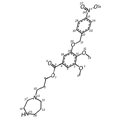 COc1cc(C(=O)OCCCN2CCCNCC2)cc(OCc2ccc([N+](=O)[O-])cc2)c1OC